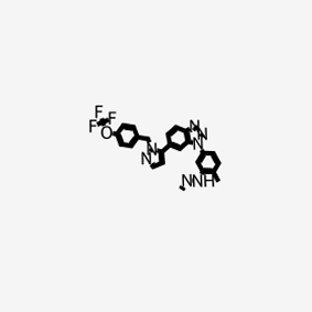 C=NNc1cc(-n2nnc3ccc(-c4ccnn4Cc4ccc(OC(F)(F)F)cc4)cc32)ccc1C